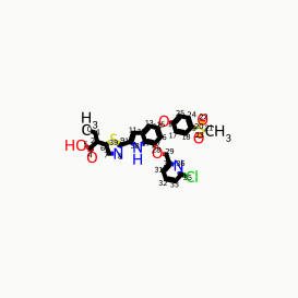 CCC(C(=O)O)C1CN=C(c2cc3cc(Oc4ccc(S(C)(=O)=O)cc4)cc(OCc4cccc(Cl)n4)c3[nH]2)S1